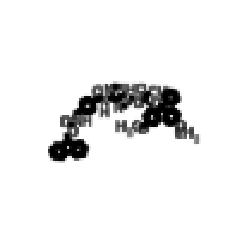 COc1ccc(C(OC[C@@H](OCn2cnc3c(NC(=O)c4ccc(CNC(=O)OCC5c6ccccc6-c6ccccc65)cc4)ncnc32)C(C)O)(c2ccccc2)c2ccc(OC)cc2)cc1